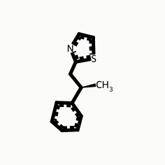 C[C@H](Cc1nccs1)c1ccccc1